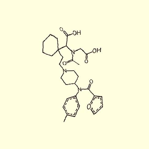 CC(=O)N(CC(=O)O)C(C(=O)O)C1(CCN2CCC(N(C(=O)c3ccco3)c3ccc(C)cc3)CC2)CCCCC1